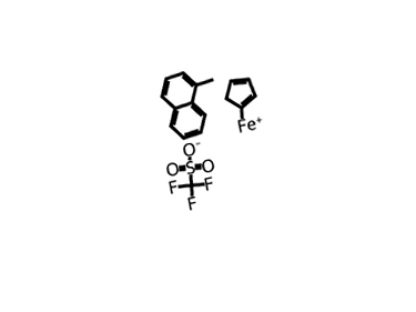 Cc1cccc2ccccc12.O=S(=O)([O-])C(F)(F)F.[Fe+][C]1=CC=CC1